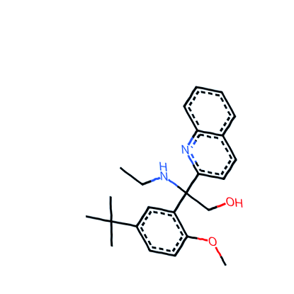 CCNC(CO)(c1ccc2ccccc2n1)c1cc(C(C)(C)C)ccc1OC